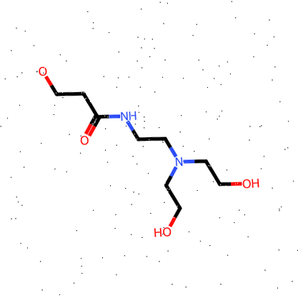 [O]CCC(=O)NCCN(CCO)CCO